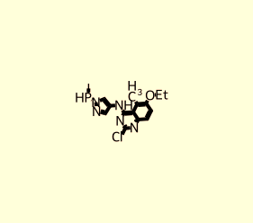 CCOc1ccc2nc(Cl)nc(Nc3cnn(PI)c3)c2c1C